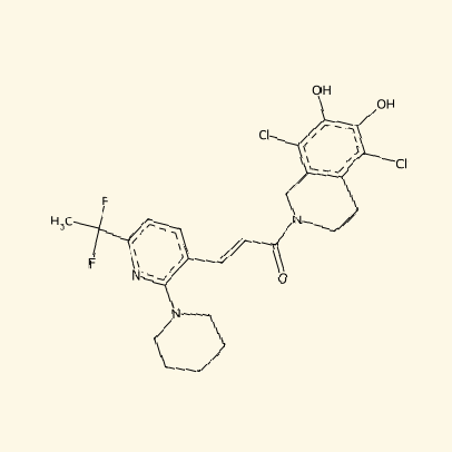 CC(F)(F)c1ccc(/C=C/C(=O)N2CCc3c(Cl)c(O)c(O)c(Cl)c3C2)c(N2CCCCC2)n1